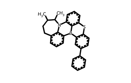 CC1CCc2cccc3c2N(c2cccc4c2B3c2cc(-c3ccccc3)ccc2S4)C1C